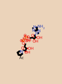 CC(=O)c1ccc[n+](C2OC(COP(=O)(O)OP(=O)(O)OCC3OC(n4cnc5c(N)ncnc54)C(O)C3O)C(O)C2O)c1